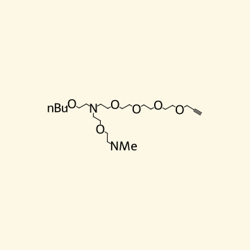 C#CCOCCOCCOCCOCCN(CCOCCCC)CCOCCNC